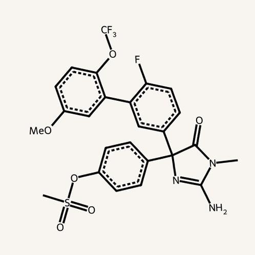 COc1ccc(OC(F)(F)F)c(-c2cc(C3(c4ccc(OS(C)(=O)=O)cc4)N=C(N)N(C)C3=O)ccc2F)c1